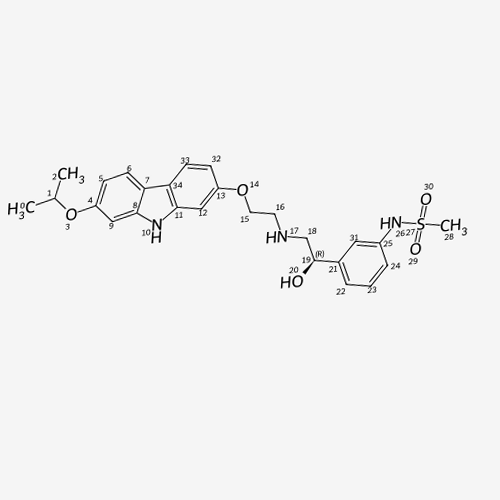 CC(C)Oc1ccc2c(c1)[nH]c1cc(OCCNC[C@H](O)c3cccc(NS(C)(=O)=O)c3)ccc12